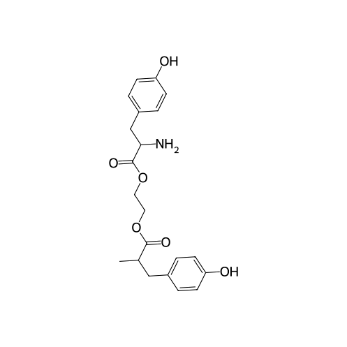 CC(Cc1ccc(O)cc1)C(=O)OCCOC(=O)C(N)Cc1ccc(O)cc1